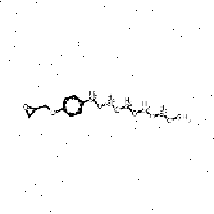 [SiH3]O[SiH2]O[SiH2]O[SiH2]O[SiH2]O[SiH2]c1ccc(OCC2CO2)cc1